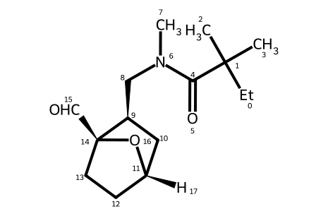 CCC(C)(C)C(=O)N(C)C[C@H]1C[C@@H]2CC[C@@]1(C=O)O2